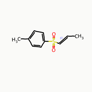 C/C=C/S(=O)(=O)c1ccc(C)cc1